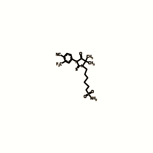 CC1(C)C(=O)N(c2ccc(C#N)c(C(F)(F)F)c2)C(=S)N1CCCCCCS(N)(=O)=O